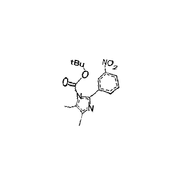 Cc1nc(-c2cccc([N+](=O)[O-])c2)n(C(=O)OC(C)(C)C)c1C